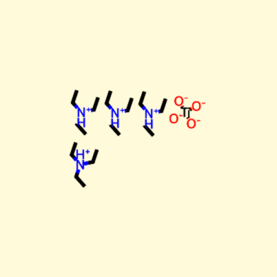 CC[NH+](CC)CC.CC[NH+](CC)CC.CC[NH+](CC)CC.CC[NH+](CC)CC.[O-][Ti]([O-])([O-])[O-]